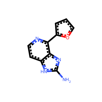 Nc1nc2c(-c3ccco3)nccc2[nH]1